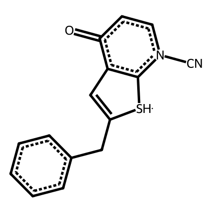 N#Cn1ccc(=O)c2c1[SH]C(Cc1ccccc1)=C2